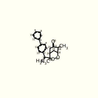 C=C(c1ccc(-c2ccccc2)cc1)C1(C)OOC2CC1CC(=O)C2C